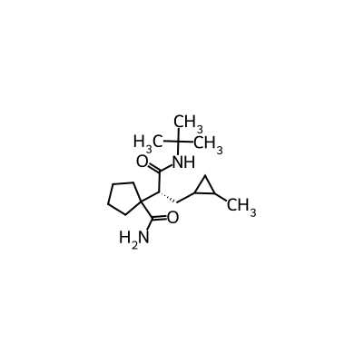 CC1CC1C[C@@H](C(=O)NC(C)(C)C)C1(C(N)=O)CCCC1